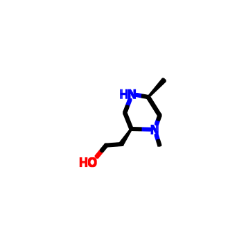 C[C@H]1CN(C)[C@@H](CCO)CN1